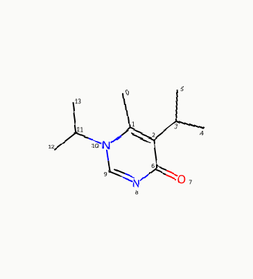 Cc1c(C(C)C)c(=O)ncn1C(C)C